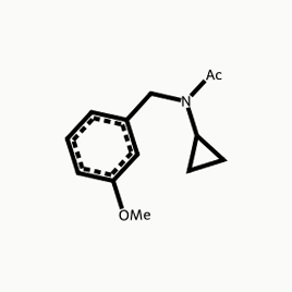 COc1cccc(CN(C(C)=O)C2CC2)c1